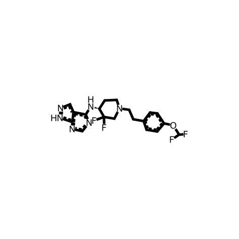 FC(F)Oc1ccc(CCN2CC[C@@H](Nc3ncnc4[nH]ncc34)C(F)(F)C2)cc1